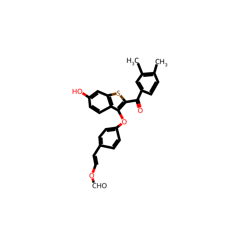 Cc1ccc(C(=O)c2sc3cc(O)ccc3c2Oc2ccc(/C=C/OC=O)cc2)cc1C